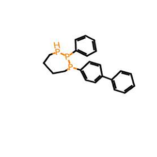 c1ccc(-c2ccc(P3CCCCPP3c3ccccc3)cc2)cc1